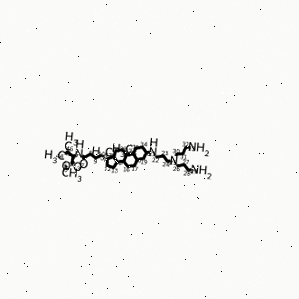 COC(=O)C(NC(=O)CCC[C@H]1CCC2C3CCC4CC(NCCCN(CCCN)CCCN)CCC4(C)C3CCC21C)C(C)C